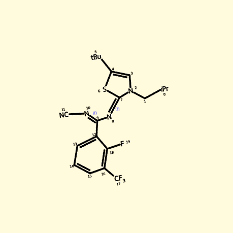 CC(C)Cn1cc(C(C)(C)C)s/c1=N\C(=N\C#N)c1cccc(C(F)(F)F)c1F